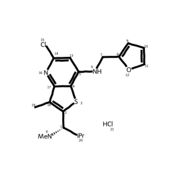 CN[C@H](c1sc2c(NCc3ccco3)cc(Cl)nc2c1C)C(C)C.Cl